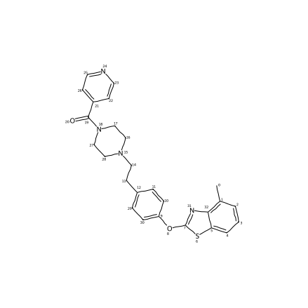 Cc1cccc2sc(Oc3ccc(CCN4CCN(C(=O)c5ccncc5)CC4)cc3)nc12